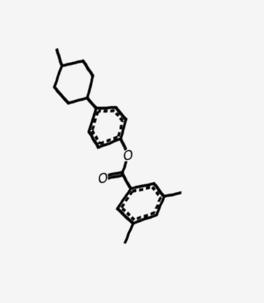 Cc1cc(C)cc(C(=O)Oc2ccc(C3CCC(C)CC3)cc2)c1